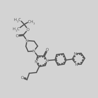 CC(C)(C)OC(=O)N1CCN(c2nc(CCC=O)cn(-c3ccc(-c4ncccn4)cc3)c2=O)CC1